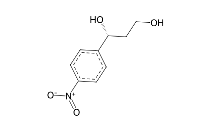 O=[N+]([O-])c1ccc([C@H](O)CCO)cc1